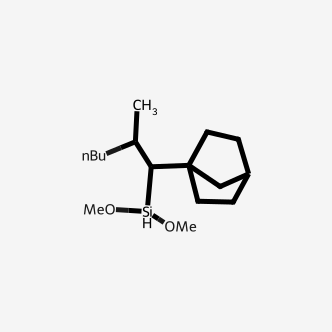 CCCCC(C)C([SiH](OC)OC)C12CCC(CC1)C2